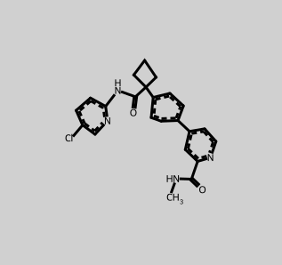 CNC(=O)c1cc(-c2ccc(C3(C(=O)Nc4ccc(Cl)cn4)CCC3)cc2)ccn1